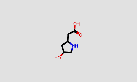 O=C(O)CC1CC(O)CN1